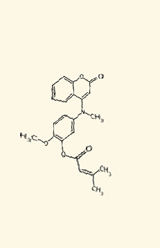 COc1ccc(N(C)c2cc(=O)oc3ccccc23)cc1OC(=O)C=C(C)C